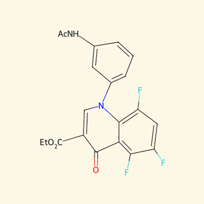 CCOC(=O)c1cn(-c2cccc(NC(C)=O)c2)c2c(F)cc(F)c(F)c2c1=O